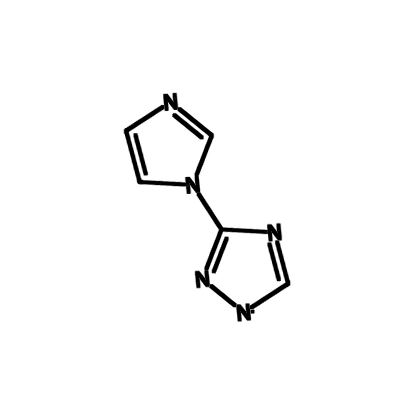 C1=NC(n2ccnc2)=N[N]1